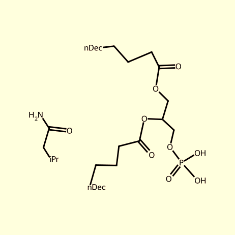 CC(C)CC(N)=O.CCCCCCCCCCCCCC(=O)OCC(COP(=O)(O)O)OC(=O)CCCCCCCCCCCCC